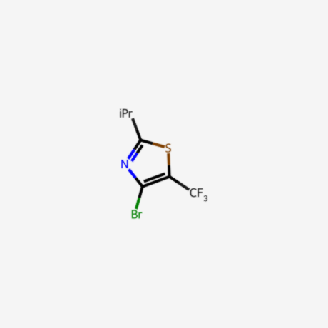 CC(C)c1nc(Br)c(C(F)(F)F)s1